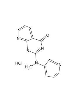 CN(c1cccnc1)c1nc(=O)c2cccnc2s1.Cl